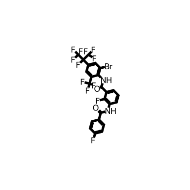 O=C(Nc1cccc(C(=O)Nc2c(Br)cc(C(F)(C(F)(F)F)C(F)(F)F)cc2C(F)(F)F)c1F)c1ccc(F)cc1